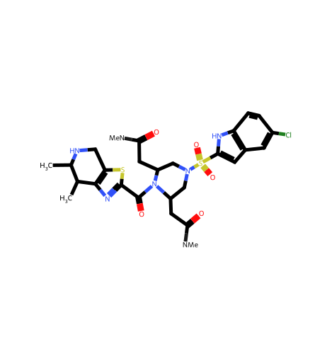 CNC(=O)CC1CN(S(=O)(=O)c2cc3cc(Cl)ccc3[nH]2)CC(CC(=O)NC)N1C(=O)c1nc2c(s1)CNC(C)C2C